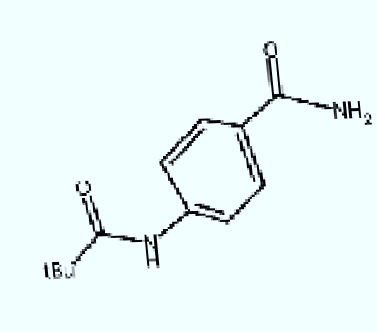 CC(C)(C)C(=O)Nc1ccc(C(N)=O)cc1